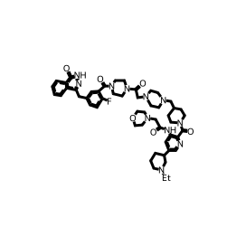 CCN1CCCC(c2cnc(C(=O)N3CCC(CN4CCN(CC(=O)N5CCN(C(=O)c6cc(Cc7n[nH]c(=O)c8ccccc78)ccc6F)CC5)CC4)CC3)c(NC(=O)CN3CCOCC3)c2)C1